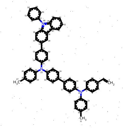 C=Cc1ccc(N(c2ccc(C)cc2)c2ccc(-c3ccc(N(c4ccc(C)cc4)c4ccc(-c5ccc6c(c5)c5ccccc5n6-c5ccccc5)cc4)cc3)cc2)cc1